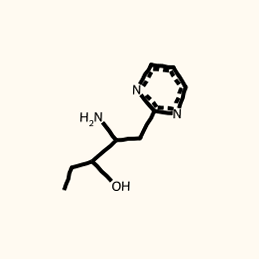 CCC(O)C(N)Cc1ncccn1